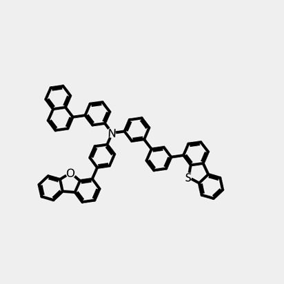 c1cc(-c2cccc(N(c3ccc(-c4cccc5c4oc4ccccc45)cc3)c3cccc(-c4cccc5ccccc45)c3)c2)cc(-c2cccc3c2sc2ccccc23)c1